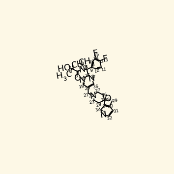 CN(C(=O)C(C)(C)O)C(c1ccc(F)c(F)c1)c1ncc(CN2CCC3(CC2)OCc2ccncc23)cn1